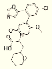 COc1cn(C(CC2CCCCO2)C(=O)O)c(=O)cc1-c1cc(Cl)ccc1-c1cnco1